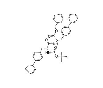 CC(C)(C)OC(=O)N[C@H](Cc1ccc(-c2ccccc2)cc1)C(=O)N[C@@H](Cc1ccc(-c2ccccc2)cc1)C(=O)OCc1ccccc1